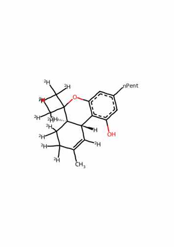 [2H]C1=C(C)C([2H])([2H])C([2H])([2H])[C@]2([2H])[C@@H]1c1c(O)cc(CCCCC)cc1OC2(C([2H])([2H])[2H])C([2H])([2H])[2H]